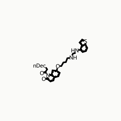 CCCCCCCCCCCC(=O)n1c(=O)ccc2ccc(OCCCCNCCNc3cccc4sccc34)cc21